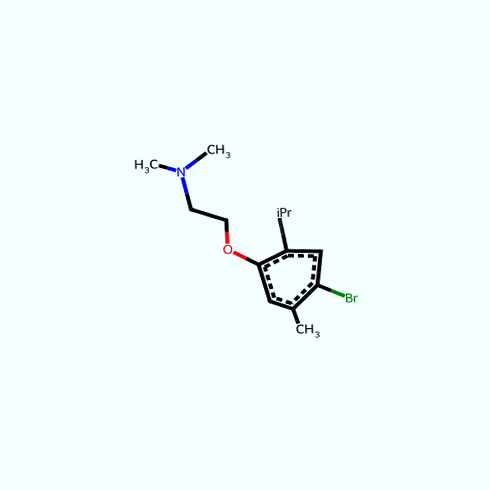 Cc1cc(OCCN(C)C)c(C(C)C)cc1Br